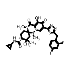 CN1C(=O)c2c(O)c(=O)c(-c3nnc(Cc4ccc(F)cc4F)s3)cn2N(C)C12CC[C@@H](C(=O)NC1CC1)C(C)(C)C2